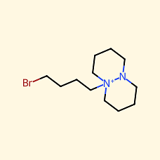 BrCCCC[N+]12CCCCN1CCCC2